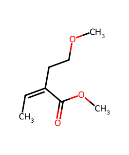 CC=C(CCOC)C(=O)OC